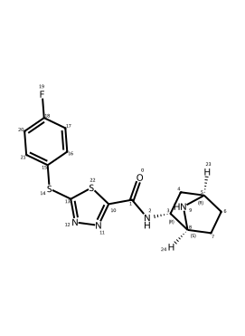 O=C(N[C@@H]1C[C@H]2CC[C@@H]1N2)c1nnc(Sc2ccc(F)cc2)s1